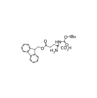 CC(C)(C)OC(=O)N[C@@](N)(CCC(=O)OCC1c2ccccc2-c2ccccc21)C(=O)O